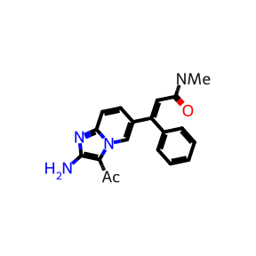 CNC(=O)/C=C(\c1ccccc1)c1ccc2nc(N)c(C(C)=O)n2c1